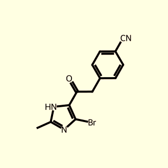 Cc1nc(Br)c(C(=O)Cc2ccc(C#N)cc2)[nH]1